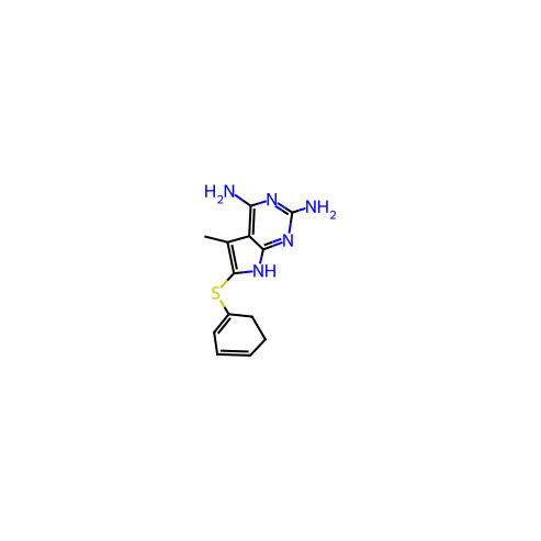 Cc1c(SC2=CC=CCC2)[nH]c2nc(N)nc(N)c12